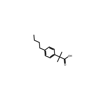 CCCCc1ccc(C(C)(C)C(=O)O)cc1